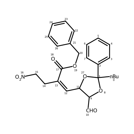 CCCCC1(c2ccccc2)OC(C=O)C(C=C(CC[N+](=O)[O-])C(=O)OCc2ccccc2)O1